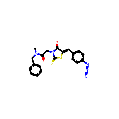 CN(Cc1ccccc1)C(=O)CN1C(=O)/C(=C/c2ccc(N=[N+]=[N-])cc2)SC1=S